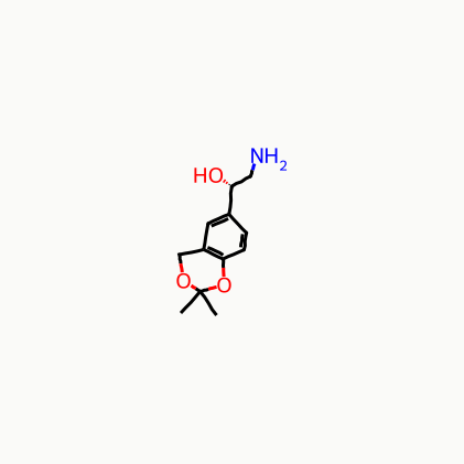 CC1(C)OCc2cc([C@H](O)CN)ccc2O1